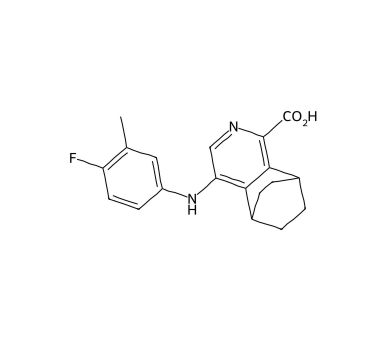 Cc1cc(Nc2cnc(C(=O)O)c3c2C2CCC3CC2)ccc1F